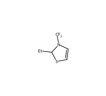 C[CH]C1SC=CN1C(F)(F)F